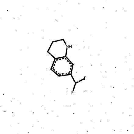 FC(F)c1ccc2c(c1)NCCC2